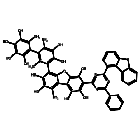 Bc1c(O)c(O)c(-c2c(O)c(O)c(B)c3c2oc2c(O)c(-c4nc(-c5ccccc5)nc(-c5cccc6oc7ccccc7c56)n4)c(O)c(O)c23)c(B)c1-c1c(B)c(O)c(O)c(O)c1O